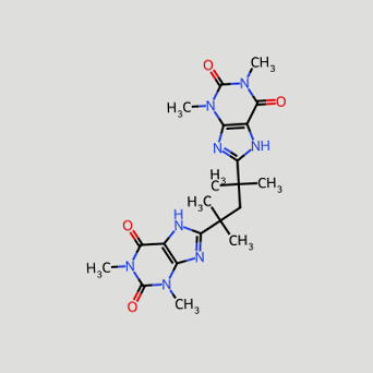 Cn1c(=O)c2[nH]c(C(C)(C)CC(C)(C)c3nc4c([nH]3)c(=O)n(C)c(=O)n4C)nc2n(C)c1=O